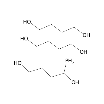 OCCCC(O)P.OCCCCO.OCCCCO